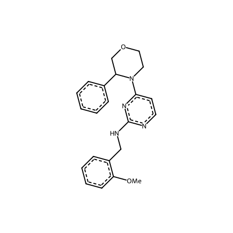 COc1ccccc1CNc1nccc(N2CCOCC2c2ccccc2)n1